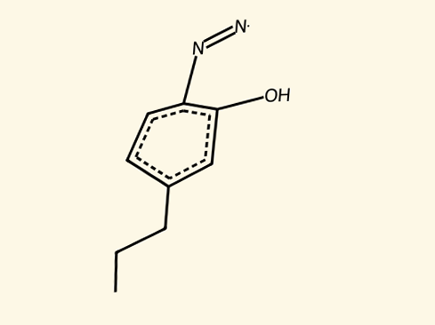 CCCc1ccc(N=[N])c(O)c1